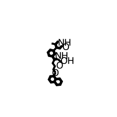 Cc1c[nH]c(=O)cc1-c1cccc2c(CCCOc3cccc4ccccc34)c(C(=O)O)[nH]c12